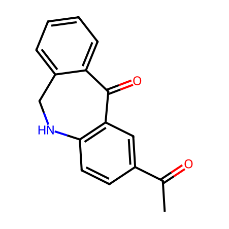 CC(=O)c1ccc2c(c1)C(=O)c1ccccc1CN2